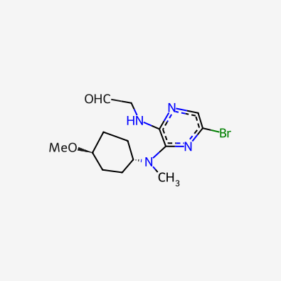 CO[C@H]1CC[C@H](N(C)c2nc(Br)cnc2NCC=O)CC1